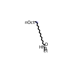 CCCCCCCC/C=C\CCCCCCCCCCCC(=O)NOCC